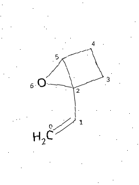 C=CC12CCC1O2